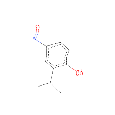 CC(C)c1cc(N=O)ccc1O